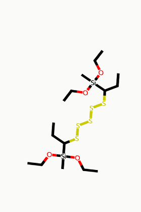 CCO[Si](C)(OCC)C(CC)SSSSSC(CC)[Si](C)(OCC)OCC